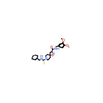 COc1ccc(CNC(=O)C2=NOC3(CCN(C(=S)NCC4CCCCC4)CC3)C2)cc1OC